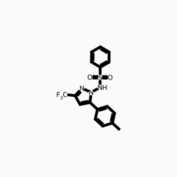 Cc1ccc(-c2cc(C(F)(F)F)nn2NS(=O)(=O)c2ccccc2)cc1